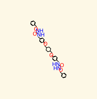 O=C(NCc1ccc(OCC2CCC(COc3ccc(CNC(=O)NOCc4ccccc4)cc3)CC2)cc1)NOCc1ccccc1